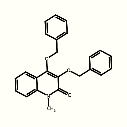 Cn1c(=O)c(OCc2ccccc2)c(OCc2ccccc2)c2ccccc21